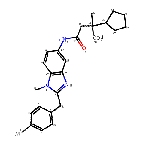 Cn1c(Cc2ccc(C#N)cc2)nc2cc(NC(=O)CC(C)(C(=O)O)C3CCCC3)ccc21